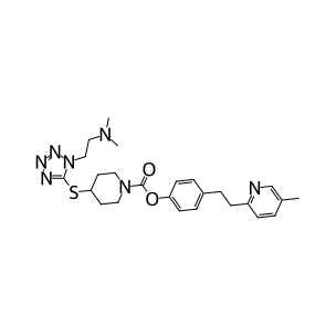 Cc1ccc(CCc2ccc(OC(=O)N3CCC(Sc4nnnn4CCN(C)C)CC3)cc2)nc1